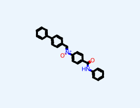 O=C(Nc1ccccc1)c1ccc([N+]([O-])=Cc2ccc(-c3ccccc3)cc2)cc1